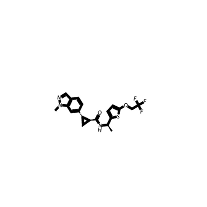 C[C@@H](NC(=O)[C@H]1C[C@@H]1c1ccc2cnn(C)c2c1)c1ccc(OCC(F)(F)F)s1